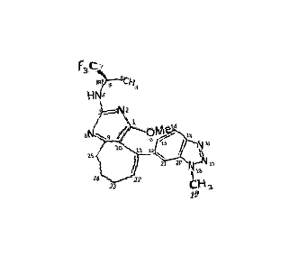 COc1nc(N[C@H](C)C(F)(F)F)nc2c1C(c1ccc3nnn(C)c3c1)=CCCC2